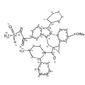 COc1ccc2c(c1)C1CC1(C(=O)N1CCN(C)CC1c1ccccc1)Cn1c-2c(C2CCCCC2)c2ccc(C(=O)NS(C)(=O)=O)cc21